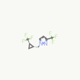 FC(F)(F)c1ccn(C[C@@H]2C[C@H]2C(F)(F)F)n1